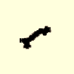 Cc1cc(C(=O)OCC(O)COc2ccc(C(C)(C)c3ccc(OCC(CO)OC(=O)c4cc(C)c(C)c(C)c4)cc3)cc2)cc(C)c1C